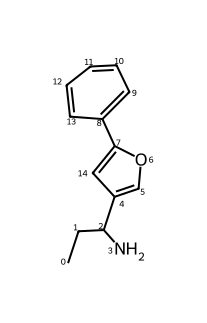 CCC(N)c1coc(-c2ccccc2)c1